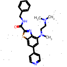 CN(C)CCN(C)c1cc(-c2ccncc2)cc2sc(C(=O)NCc3ccccc3)nc12